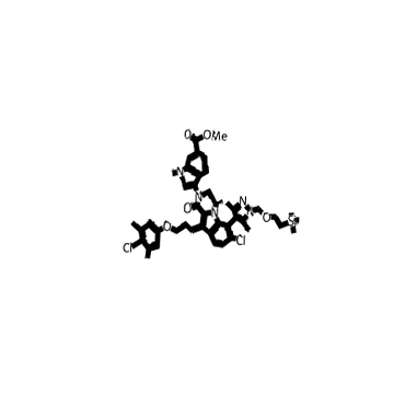 COC(=O)c1ccc2c(N3C[C@@H](C)n4c(c(CCCOc5cc(C)c(Cl)c(C)c5)c5ccc(Cl)c(-c6c(C)nn(COCC[Si](C)(C)C)c6C)c54)C3=O)cn(C)c2c1